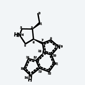 CC[C@@H]1CNC[C@@H]1c1cnc2ccc3[nH]ccc3n12